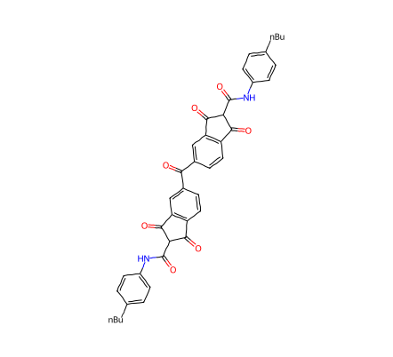 CCCCc1ccc(NC(=O)C2C(=O)c3ccc(C(=O)c4ccc5c(c4)C(=O)C(C(=O)Nc4ccc(CCCC)cc4)C5=O)cc3C2=O)cc1